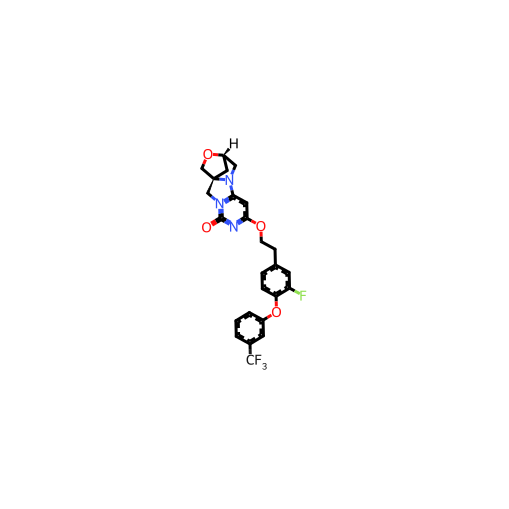 O=c1nc(OCCc2ccc(Oc3cccc(C(F)(F)F)c3)c(F)c2)cc2n1C[C@]13CO[C@H](CN21)C3